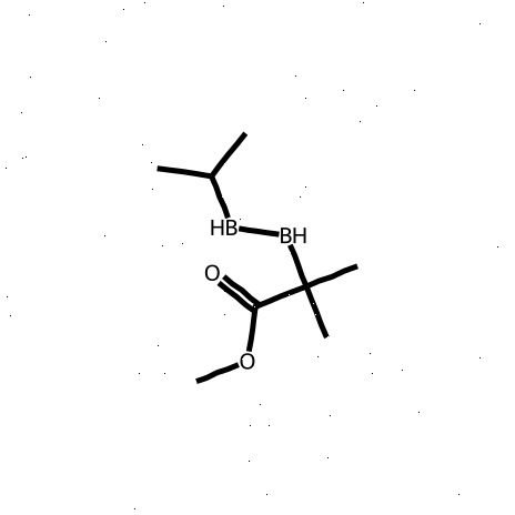 COC(=O)C(C)(C)BBC(C)C